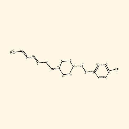 CCc1ccc(CO[C@H]2CC[C@H](CCC=CC=CC#N)CC2)cc1